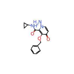 Nn1ccc(=O)c(OCc2ccccc2)c1C(=O)NC1CC1